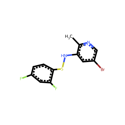 Cc1ncc(Br)cc1NSc1ccc(F)cc1F